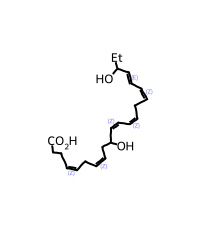 CCC(O)/C=C/C=C\C/C=C\C=C/C(O)C/C=C\C/C=C\CCC(=O)O